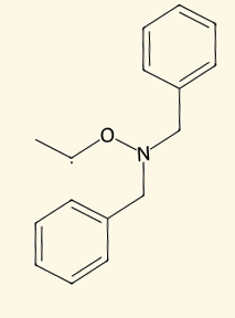 C[CH]ON(Cc1ccccc1)Cc1ccccc1